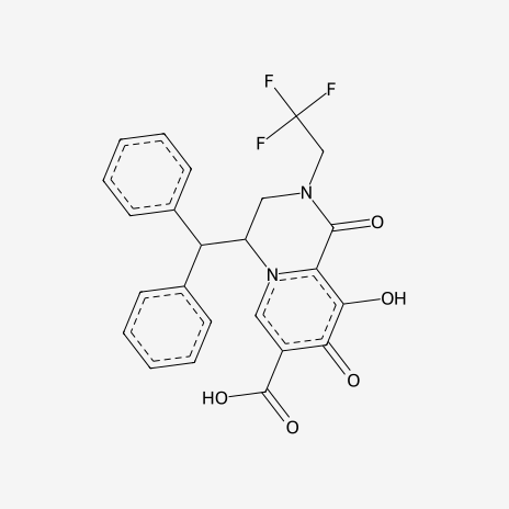 O=C(O)c1cn2c(c(O)c1=O)C(=O)N(CC(F)(F)F)CC2C(c1ccccc1)c1ccccc1